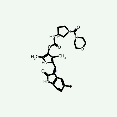 Cc1[nH]c(/C=C2\C(=O)Nc3ccc(F)cc32)c(C)c1OC(=O)N[C@H]1CCN(C(=O)N2CCOCC2)C1